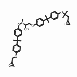 CN(Oc1ccc(C(C)(C)c2ccc(OCC3CO3)cc2)cc1)C(O)COc1ccc(C(C)(C)c2ccc(OC(C)(C)CC3CO3)cc2)cc1